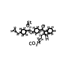 CCOC[C@H](Oc1ccc(C(=O)c2c(CCCC(=O)O)[nH]c3ccccc23)cc1)c1ccc(CC2CC2)cc1